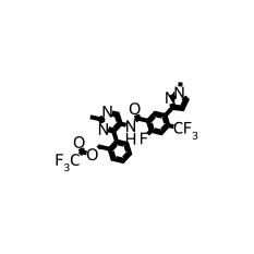 Cc1ncc(NC(=O)c2cc(-c3ccn(C)n3)c(C(F)(F)F)cc2F)c(-c2ccccc2COC(=O)C(F)(F)F)n1